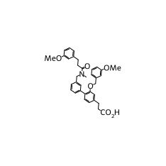 COc1cccc(CCC(=O)N(C)Cc2cccc(-c3ccc(CCC(=O)O)cc3OCc3cccc(OC)c3)c2)c1